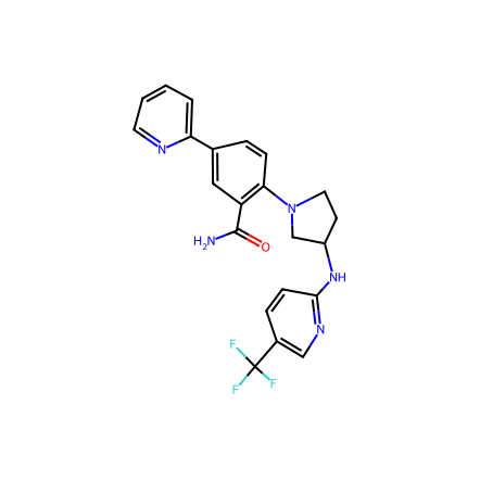 NC(=O)c1cc(-c2ccccn2)ccc1N1CCC(Nc2ccc(C(F)(F)F)cn2)C1